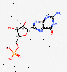 C[C@@]1(O)[C@H](O)[C@@H](COP(=O)(O)O)O[C@H]1c1nc2nc(N)[nH]c(=O)c2[nH]1